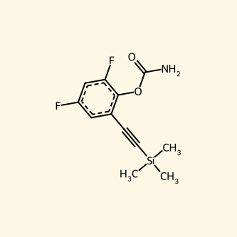 C[Si](C)(C)C#Cc1cc(F)cc(F)c1OC(N)=O